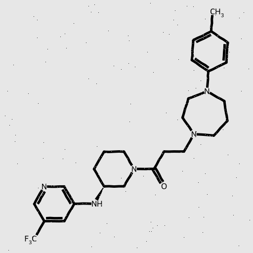 Cc1ccc(N2CCCN(CCC(=O)N3CCC[C@H](Nc4cncc(C(F)(F)F)c4)C3)CC2)cc1